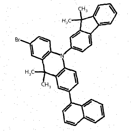 CC1(C)c2ccccc2-c2ccc(N3c4ccc(Br)cc4C(C)(C)c4cc(-c5cccc6ccccc56)ccc43)cc21